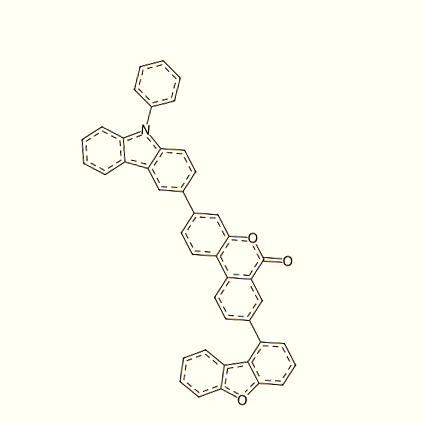 O=c1oc2cc(-c3ccc4c(c3)c3ccccc3n4-c3ccccc3)ccc2c2ccc(-c3cccc4oc5ccccc5c34)cc12